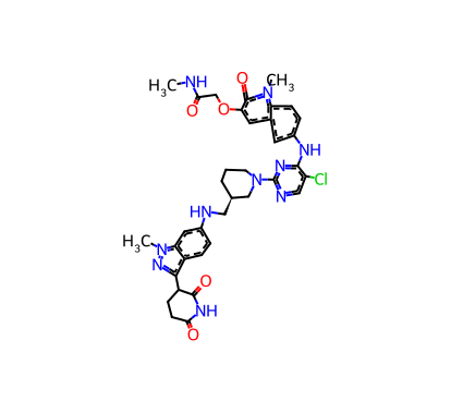 CNC(=O)COc1cc2cc(Nc3nc(N4CCC[C@H](CNc5ccc6c(C7CCC(=O)NC7=O)nn(C)c6c5)C4)ncc3Cl)ccc2n(C)c1=O